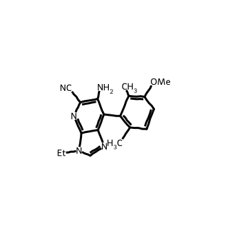 CCn1cnc2c(-c3c(C)ccc(OC)c3C)c(N)c(C#N)nc21